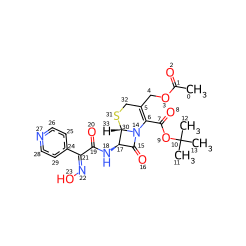 CC(=O)OCC1=C(C(=O)OC(C)(C)C)N2C(=O)[C@@H](NC(=O)C(=NO)c3ccncc3)[C@@H]2SC1